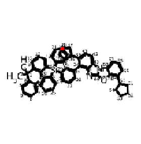 CC1(C)c2ccccc2Sc2c1cccc2[Si](c1ccccc1)(c1ccccc1)c1cccc(-c2c(C3CCCC3)ccc3c2nc2oc4c(C5CCCC5)cccc4n23)c1